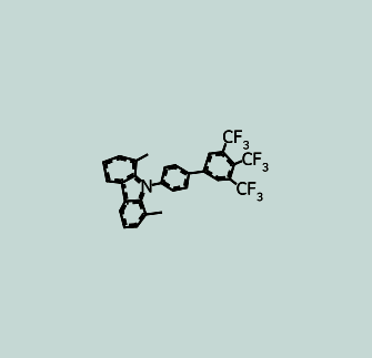 Cc1cccc2c3cccc(C)c3n(-c3ccc(-c4cc(C(F)(F)F)c(C(F)(F)F)c(C(F)(F)F)c4)cc3)c12